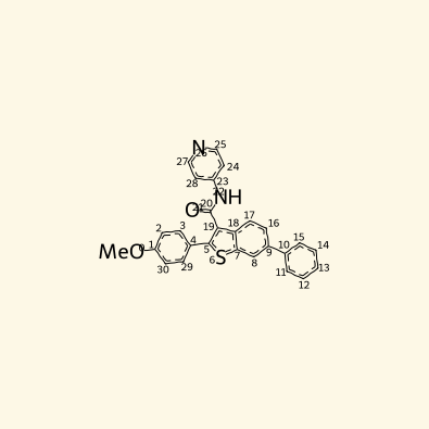 COc1ccc(-c2sc3cc(-c4ccccc4)ccc3c2C(=O)Nc2ccncc2)cc1